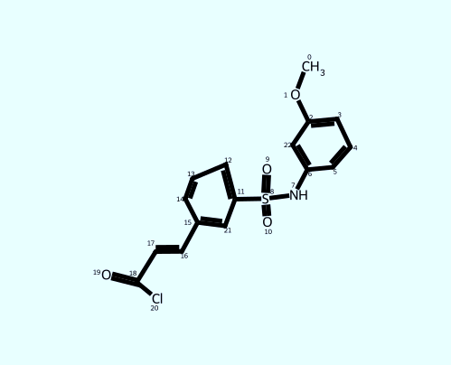 COc1cccc(NS(=O)(=O)c2cccc(C=CC(=O)Cl)c2)c1